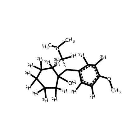 [2H]c1c([2H])c([C@@H](C([2H])([2H])N(C)C)C2(O)C([2H])([2H])C([2H])([2H])C([2H])([2H])C([2H])([2H])C2([2H])[2H])c([2H])c([2H])c1OC